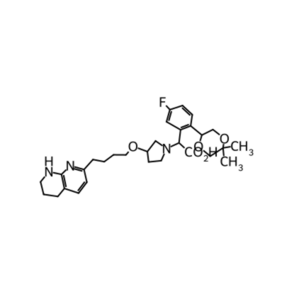 CC1(C)COC(c2ccc(F)cc2C(C(=O)O)N2CCC(OCCCCc3ccc4c(n3)NCCC4)C2)CO1